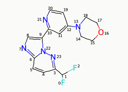 FC(F)c1ccc2ncc(-c3cc(N4CCOCC4)ccn3)n2n1